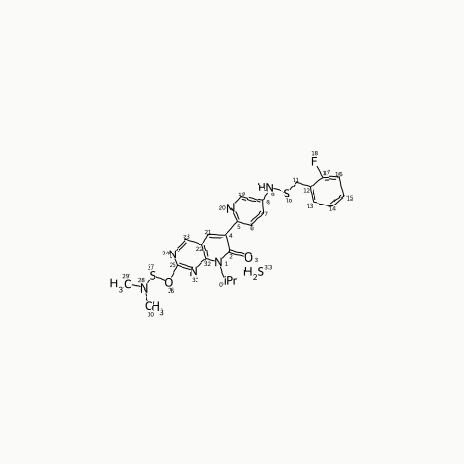 CC(C)n1c(=O)c(-c2ccc(NSCc3ccccc3F)cn2)cc2cnc(OSN(C)C)nc21.S